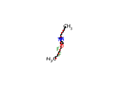 CCCCCCCCCc1cnc(-c2ccc(OCCC(F)CCC(F)CCCCC)cc2)nc1